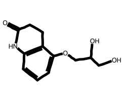 O=C1CCc2c(cccc2OCC(O)CO)N1